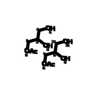 CC(=O)OCC(O)CO.CC(=O)OCC(O)CO